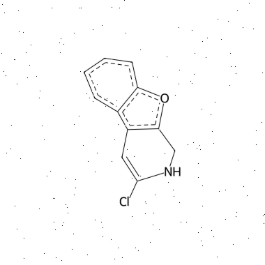 ClC1=Cc2c(oc3ccccc23)CN1